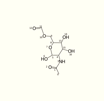 CC(=O)NC1C(O)OC(COC=O)C(O)C1O